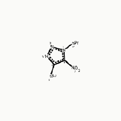 CCCn1nnc(C(C)(C)C)c1[N+](=O)[O-]